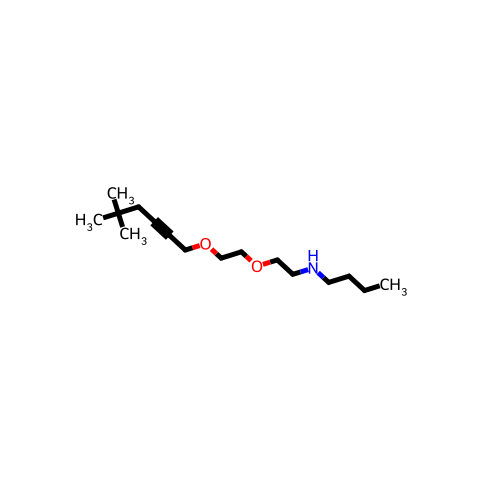 CCCCNCCOCCOCC#CCC(C)(C)C